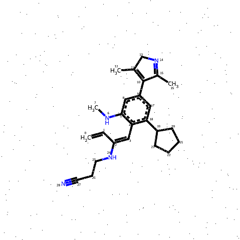 C=C/C(=C\c1c(NC)cc(C2=C(C)CN=C2C)cc1C1CCCC1)NCCC#N